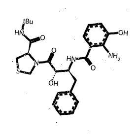 CC(C)(C)NC(=O)[C@@H]1CSCN1C(=O)[C@@H](O)[C@H](Cc1ccccc1)NC(=O)c1cccc(O)c1N